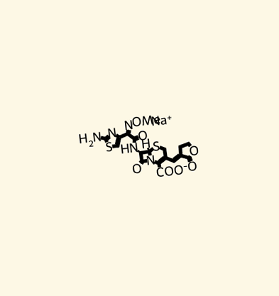 CO/N=C(\C(=O)N[C@@H]1C(=O)N2C(C(=O)[O-])=C(/C=C3\CCOC3=O)CS[C@@H]12)c1csc(N)n1.[Na+]